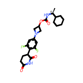 C[C@H](NC(=O)OC1CN(c2cc(F)c(C3CCC(=O)NC3=O)c(F)c2)C1)C1CCCCC1